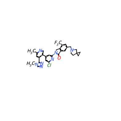 Cc1cc(-c2nncn2C)c(-c2cc(Cl)nc(N3Cc4c(cc(CN5CCC6(CC6)C5)cc4C(F)(F)F)C3=O)c2)cn1